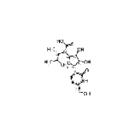 CC(C)[C@H](C)N(C(O)=S)[C@@H]1O[C@@H](n2cc/c(=N/O)[nH]c2=O)[C@H](O)[C@@H]1O